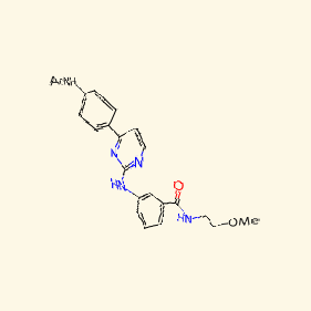 COCCNC(=O)c1cccc(Nc2nccc(-c3ccc(NC(C)=O)cc3)n2)c1